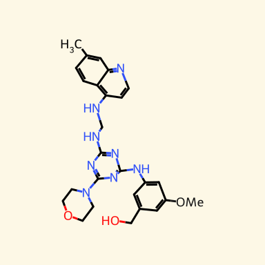 COc1cc(CO)cc(Nc2nc(NCNc3ccnc4cc(C)ccc34)nc(N3CCOCC3)n2)c1